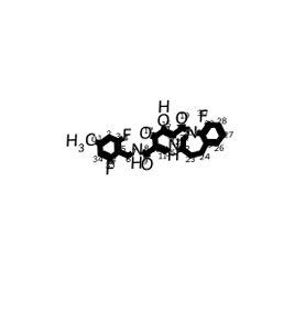 Cc1cc(F)c(CNC(=O)c2cn3c(c(O)c2=O)C(=O)N2C[C@H]3CCc3cccc(F)c32)c(F)c1